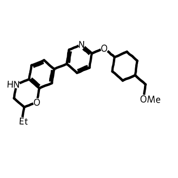 CCC1CNc2ccc(-c3ccc(OC4CCC(COC)CC4)nc3)cc2O1